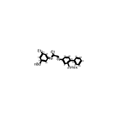 CCCCCCc1cc(N=CC(CC)=Nc2cc(CC)cc(CCCC)c2)ccc1-c1ccccc1